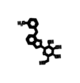 Cc1cccc(Cc2cccc3c2SC([C@@H]2O[C@H](CO)[C@@H](O)[C@H](O)[C@H]2O)C3)c1